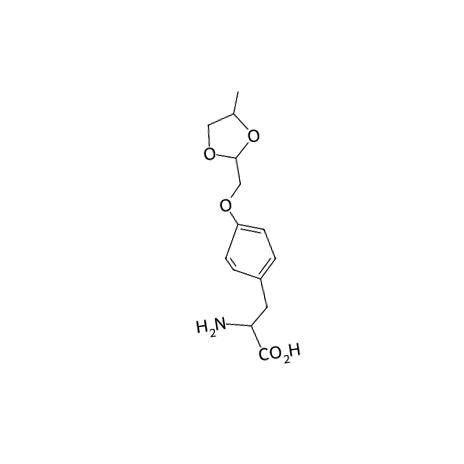 CC1COC(COc2ccc(CC(N)C(=O)O)cc2)O1